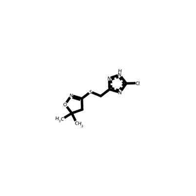 CC1(C)CC(SCc2n[nH]c(Cl)n2)=NO1